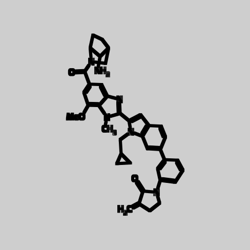 C=C1CCN(c2cccc(-c3ccc4cc(-c5nc6cc(C(=O)N7CC8CCC7C8N)cc(OC)c6n5C)n(CC5CC5)c4c3)c2)C1=O